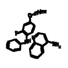 CCCCCCOc1ccc(Nc2ccccc2)c(F)c1.Nc1ccnc2ccccc12